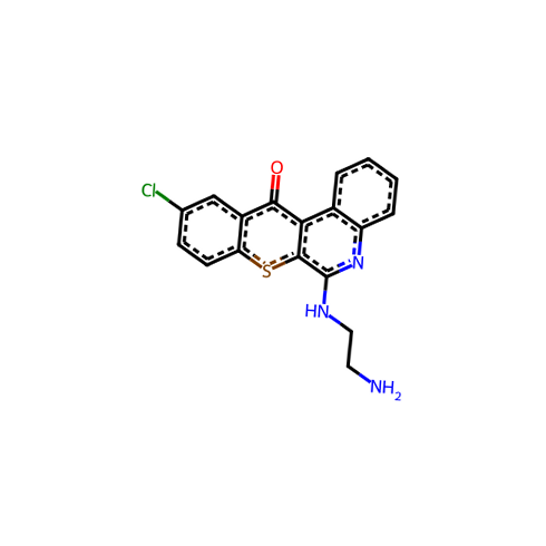 NCCNc1nc2ccccc2c2c(=O)c3cc(Cl)ccc3sc12